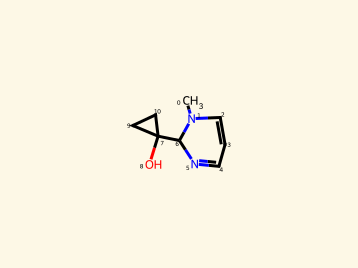 CN1C=CC=NC1C1(O)CC1